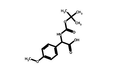 COc1ccc(C(NC(=O)OC(C)(C)C)C(=O)O)cc1